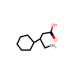 CCC(CC(=O)O)C1CCCCC1